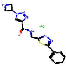 Cl.O=C(NCc1nnc(-c2ccccc2)s1)c1cn(C2CNC2)nn1